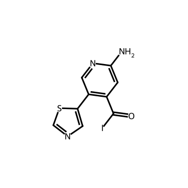 Nc1cc(C(=O)I)c(-c2cncs2)cn1